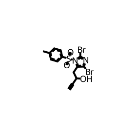 C#CC(O)Cc1c(Br)nc(Br)n1S(=O)(=O)c1ccc(C)cc1